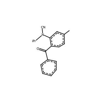 Cc1ccc(C(=O)c2ccccc2)c(N(C#N)C(C)C)c1